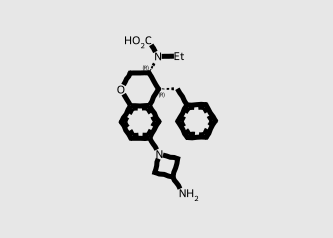 CCN(C(=O)O)[C@H]1COc2ccc(N3CC(N)C3)cc2[C@H]1Cc1ccccc1